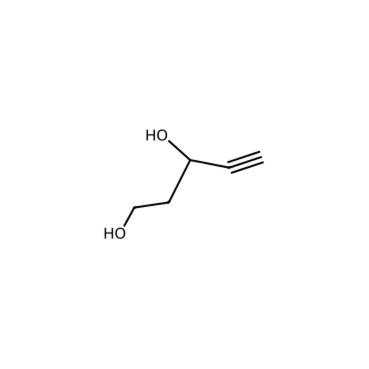 C#CC(O)CCO